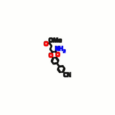 COC(=O)CCC(Oc1ccc(-c2ccc(C#N)cc2)cc1)C(N)=O